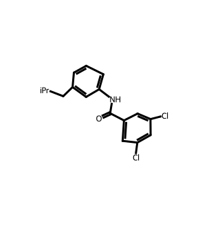 CC(C)Cc1cccc(NC(=O)c2cc(Cl)cc(Cl)c2)c1